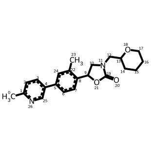 Cc1ccc(-c2ccc(C3CN(CC4CCCCO4)C(=O)O3)c(C)c2)cn1